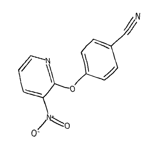 N#Cc1ccc(Oc2ncccc2[N+](=O)[O-])cc1